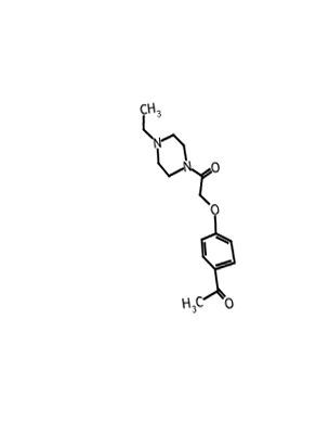 CCN1CCN(C(=O)COc2ccc(C(C)=O)cc2)CC1